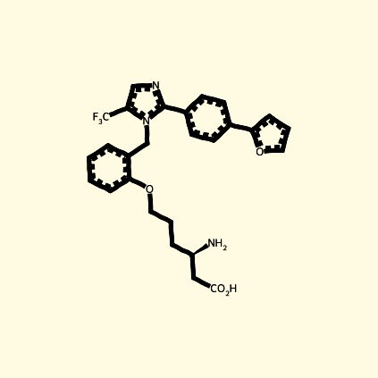 N[C@H](CCCOc1ccccc1Cn1c(C(F)(F)F)cnc1-c1ccc(-c2ccco2)cc1)CC(=O)O